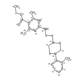 CCOC(=O)c1c(C)nc(NCCN2CCN(c3ccccc3C)CC2)nc1C